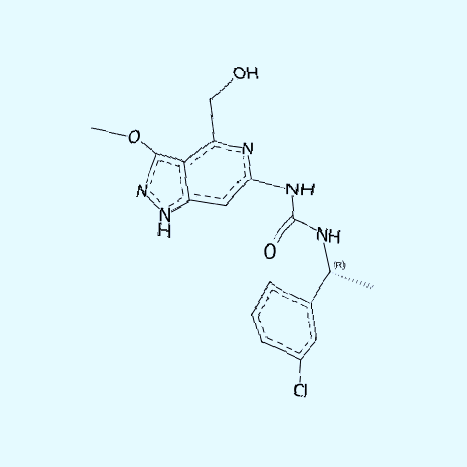 COc1n[nH]c2cc(NC(=O)N[C@H](C)c3cccc(Cl)c3)nc(CO)c12